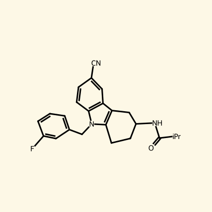 CC(C)C(=O)NC1CCc2c(c3cc(C#N)ccc3n2Cc2cccc(F)c2)C1